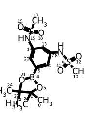 CC1(C)OB(c2cc(NS(C)(=O)=O)cc(NS(C)(=O)=O)c2)OC1(C)C